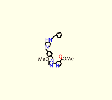 COC(=O)c1ccnc(-c2nccn2Cc2ccc(CN3CCC(NCCc4ccccc4)CC3)cc2OC)c1